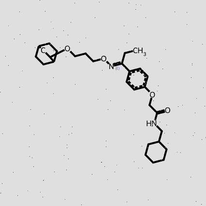 CC/C(=N\OCCCOC1CC2CCC1CC2)c1ccc(OCC(=O)NCC2CCCCC2)cc1